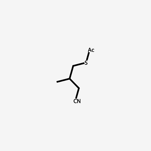 CC(=O)SCC(C)CC#N